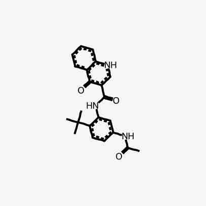 CC(=O)Nc1ccc(C(C)(C)C)c(NC(=O)c2c[nH]c3ccccc3c2=O)c1